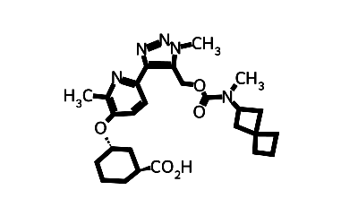 Cc1nc(-c2nnn(C)c2COC(=O)N(C)C2CC3(CCC3)C2)ccc1O[C@H]1CCC[C@H](C(=O)O)C1